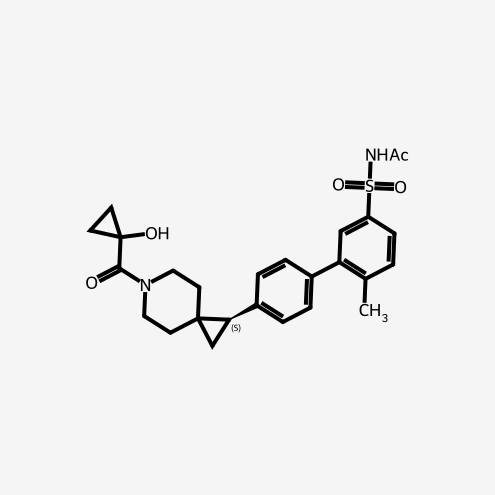 CC(=O)NS(=O)(=O)c1ccc(C)c(-c2ccc([C@H]3CC34CCN(C(=O)C3(O)CC3)CC4)cc2)c1